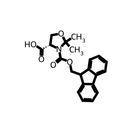 CC1(C)OC[C@@H](C(=O)O)N1C(=O)OCC1c2ccccc2-c2ccccc21